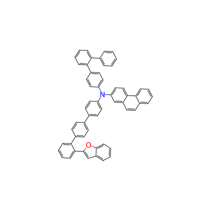 c1ccc(-c2ccccc2-c2ccc(N(c3ccc(-c4ccc(-c5ccccc5-c5cc6ccccc6o5)cc4)cc3)c3ccc4c(ccc5ccccc54)c3)cc2)cc1